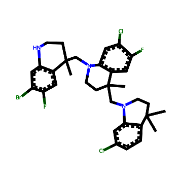 CC1(C)CCN(CC2(C)CCN(CC3(C)CCNc4cc(Br)c(F)cc43)c3cc(Cl)c(F)cc32)c2cc(Cl)ccc21